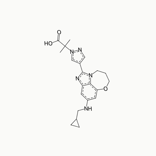 CC(C)(C(=O)O)n1cc(-c2nc3cc(NCC4CC4)cc4c3n2CCCO4)cn1